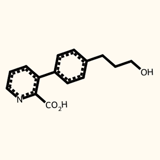 O=C(O)c1ncccc1-c1ccc(CCCO)cc1